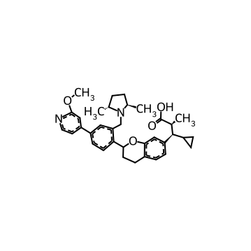 COc1cc(-c2ccc(C3CCc4ccc([C@H](C5CC5)[C@H](C)C(=O)O)cc4O3)c(CN3[C@H](C)CC[C@H]3C)c2)ccn1